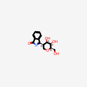 O=C1N=C([C@@H]2CO[C@H](CO)[C@H](O)[C@@H]2O)c2ccccc21